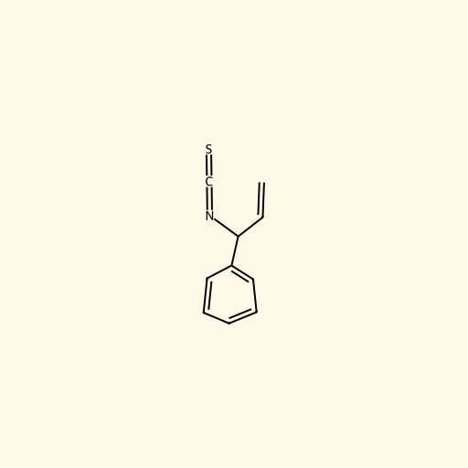 C=CC(N=C=S)c1ccccc1